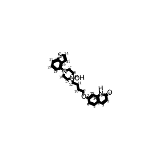 O=c1ccc2ccc(OCCCC[N+]3(O)CCN(c4cccc5sccc45)CC3)cc2[nH]1